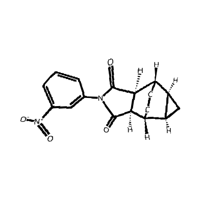 O=C1[C@@H]2[C@@H]3CC[C@@H]([C@H]4C[C@H]43)[C@@H]2C(=O)N1c1cccc([N+](=O)[O-])c1